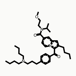 CCCCc1cc2cc(C(=O)N(CCOC)C(C)C)ccn2c1C(=O)c1ccc(CCCN(CCCC)CCCC)cc1